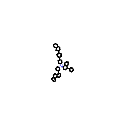 c1ccc(-c2ccc(N(c3ccc(-c4ccc(-c5ccc6ccccc6c5)cc4)cc3)c3cccc(-c4cccc5c4ccc4ccccc45)c3)c3ccccc23)cc1